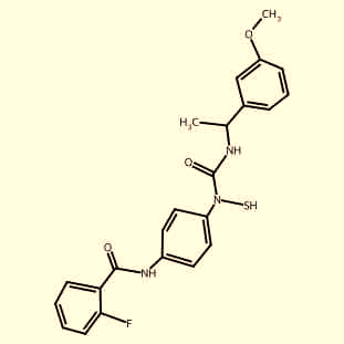 COc1cccc(C(C)NC(=O)N(S)c2ccc(NC(=O)c3ccccc3F)cc2)c1